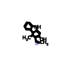 C/C=C\c1c(O)cc2[nH]c3ccccc3c2c1C